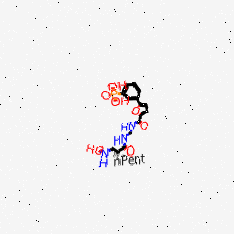 CCCCC[C@H](CNO)C(=O)NCNC(=O)c1ccc(-c2cccc(P(=O)(O)O)c2)o1